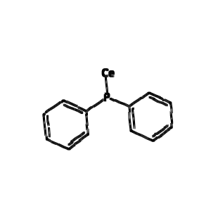 [Ce][P](c1ccccc1)c1ccccc1